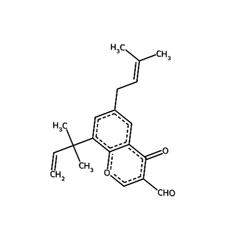 C=CC(C)(C)c1cc(CC=C(C)C)cc2c(=O)c(C=O)coc12